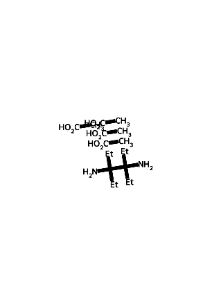 CC(=O)O.CC(=O)O.CC(=O)O.CC(=O)O.CCC(N)(CC)C(N)(CC)CC